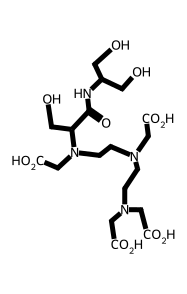 O=C(O)CN(CCN(CC(=O)O)CC(=O)O)CCN(CC(=O)O)C(CO)C(=O)NC(CO)CO